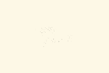 C#CCN1C(=O)COc2cc(F)c(N3C(=O)C4=C(CCCC4)C3=O)cc21.COc1nc(C)nc(NC(=O)NS(=O)(=O)c2ccsc2C(=O)O)n1.O=C(O)COc1ccc(Cl)c2cccnc12